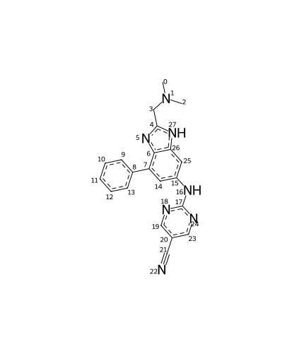 CN(C)Cc1nc2c(-c3ccccc3)cc(Nc3ncc(C#N)cn3)cc2[nH]1